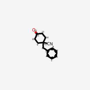 N#CC1(Cc2ccccc2)CCC(=O)CC1